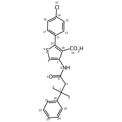 CC(C)(CC(=O)Nc1csc(-c2ccc(Cl)cc2)c1C(=O)O)c1ccccc1